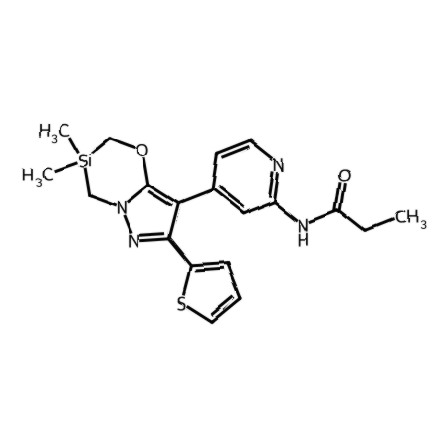 CCC(=O)Nc1cc(-c2c(-c3cccs3)nn3c2OC[Si](C)(C)C3)ccn1